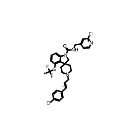 O=C(NCc1ccnc(Cl)c1)N1CC2(CCN(C/C=C/c3ccc(Cl)cc3)CC2)c2c(SC(F)(F)F)cccc21